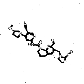 CO[C@@H]1CCN(c2cc(NC(=O)N3CCCc4cc(CN5C(=C=O)OC[C@@H]5C)c(C=O)nc43)ncc2C#N)C1